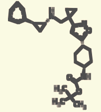 CC(C)(C)OC(=O)N[C@H]1CC[C@H](c2cc(C3(CN[C@@H]4C[C@H]4c4ccccc4)CC3)no2)CC1